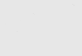 Cc1nc(-c2ccc(Cl)cc2)c(C(=O)Nc2ccc(Cc3ccccn3)cc2)s1